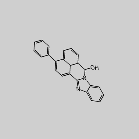 OC1C2C=CC=C3C(c4ccccc4)=CC=C(c4nc5ccccc5n41)C32